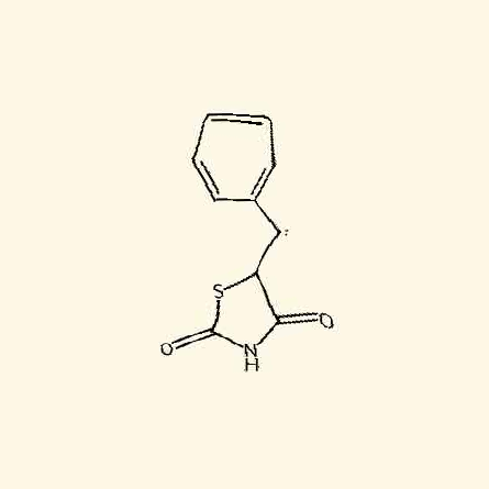 O=C1NC(=O)C([C]c2ccccc2)S1